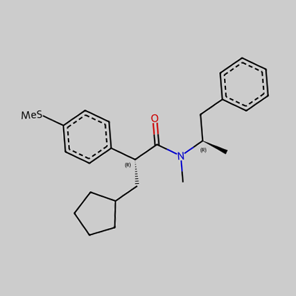 CSc1ccc([C@@H](CC2CCCC2)C(=O)N(C)[C@H](C)Cc2ccccc2)cc1